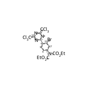 CCOC(=O)N(C(=O)OCC)c1ccc(-c2nc(C(Cl)(Cl)Cl)nc(C(Cl)(Cl)Cl)n2)c(Br)c1